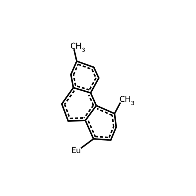 Cc1ccc2c(ccc3[c]([Eu])ccc(C)c32)c1